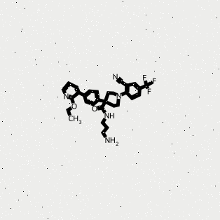 CCOc1ncccc1-c1ccc(C2(C(=O)NCCCN)CCN(c3ccc(C(F)(F)F)cc3C#N)CC2)cc1